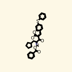 O=C(O/N=C(\CC1CCCC1)C(=O)c1cc2ccc(Sc3ccccc3)cc2oc1=O)c1ccccc1